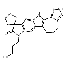 O=C1N(CCCO)c2cc3c4c([nH]c3cc2C12CCCC2)-c1n[nH]cc1CCC4